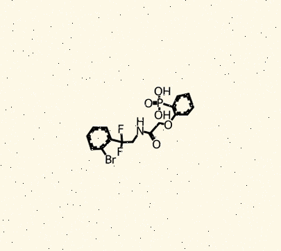 O=C(COc1ccccc1P(=O)(O)O)NCC(F)(F)c1ccccc1Br